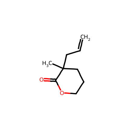 C=CCC1(C)CCCOC1=O